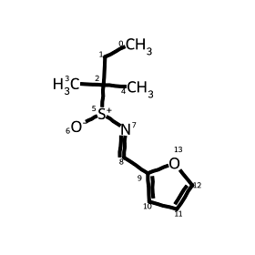 CCC(C)(C)[S+]([O-])/N=C/c1ccco1